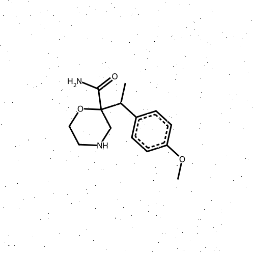 COc1ccc(C(C)C2(C(N)=O)CNCCO2)cc1